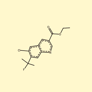 CCOC(=O)c1cnc2cc(C(C)(C)F)c(Cl)cc2c1